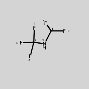 FC(F)NC(F)(F)F